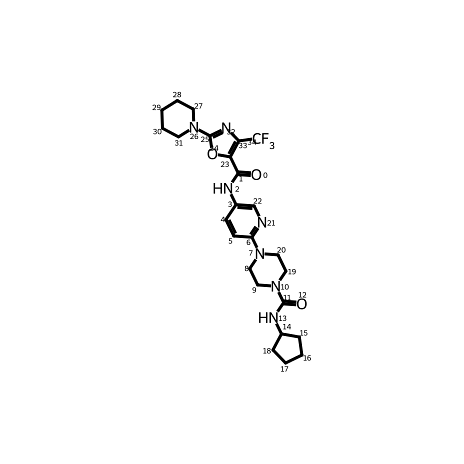 O=C(Nc1ccc(N2CCN(C(=O)NC3CCCC3)CC2)nc1)c1oc(N2CCCCC2)nc1C(F)(F)F